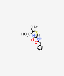 CC(=O)OCC1=CS[C@H]2[C@H](NC(=O)Cc3ccccc3)C(=O)N2[C@H]1C(=O)O